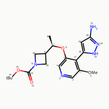 COc1cncc(O[C@H](C)C2CN(C(=O)OC(C)(C)C)C2)c1-c1cc(N)n[nH]1